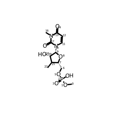 COP(=O)(O)OC[C@H]1O[C@@H](n2ccc(=O)n(C)c2=O)[C@@H](O)C1C